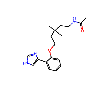 CC(=O)NCCC(C)(C)CCOc1ccccc1-c1c[nH]cn1